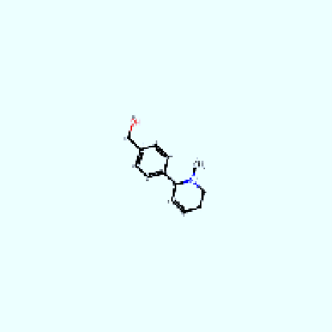 CN1CCC=CC1c1ccc(CO)cc1